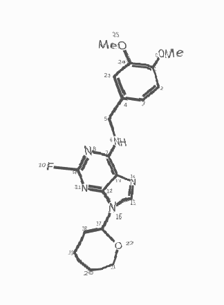 COc1ccc(CNc2nc(F)nc3c2ncn3C2CCCCO2)cc1OC